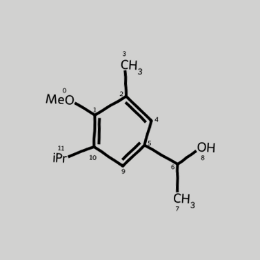 COc1c(C)cc(C(C)O)cc1C(C)C